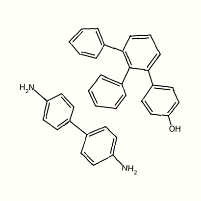 Nc1ccc(-c2ccc(N)cc2)cc1.Oc1ccc(-c2cccc(-c3ccccc3)c2-c2ccccc2)cc1